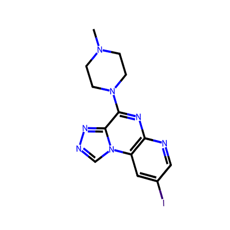 CN1CCN(c2nc3ncc(I)cc3n3cnnc23)CC1